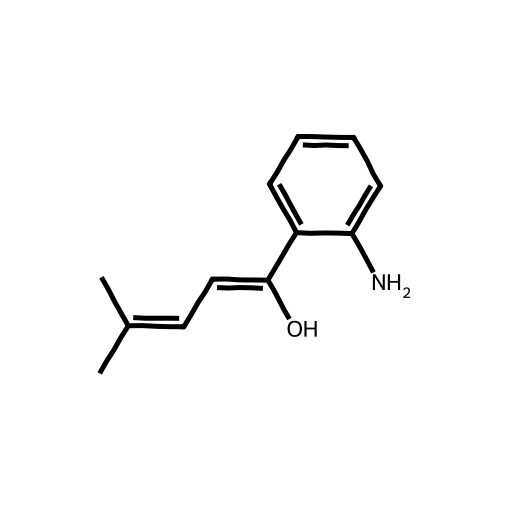 CC(C)=C/C=C(\O)c1ccccc1N